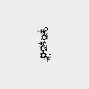 O=C1NC[C@]2(CC[C@@H](CNc3ccc(-c4cccc(C(F)F)c4)nn3)CC2)O1